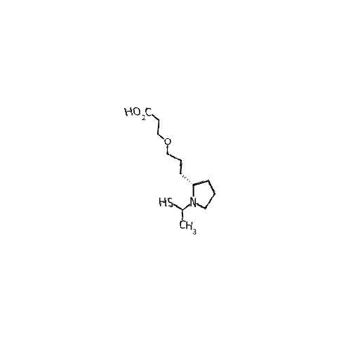 CC(S)N1CCC[C@H]1CCCOCCC(=O)O